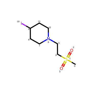 CS(=O)(=O)CCN1CCC(I)CC1